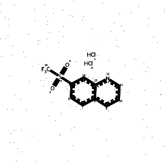 Cl.Cl.O=S(=O)(c1ccc2cccnc2c1)C(F)(F)F